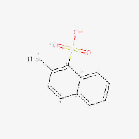 O=S(=O)(O)c1c([SiH3])ccc2ccccc12